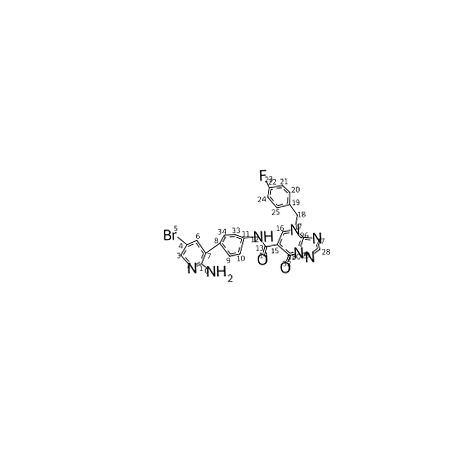 Nc1ncc(Br)cc1-c1ccc(NC(=O)c2cn(Cc3ccc(F)cc3)c3ncnn3c2=O)cc1